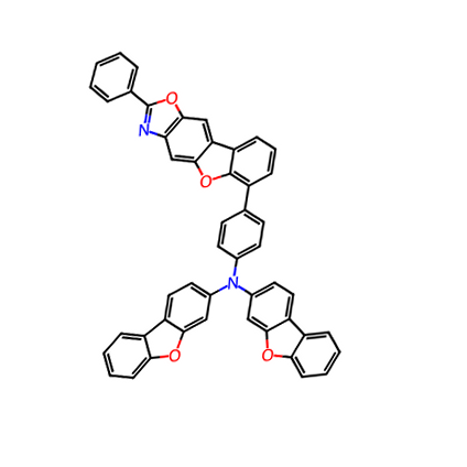 c1ccc(-c2nc3cc4oc5c(-c6ccc(N(c7ccc8c(c7)oc7ccccc78)c7ccc8c(c7)oc7ccccc78)cc6)cccc5c4cc3o2)cc1